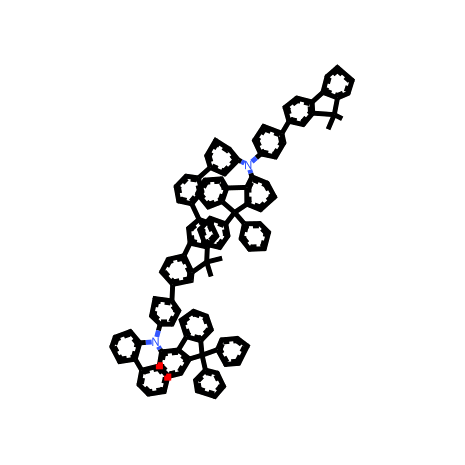 CC1(C)c2ccccc2-c2ccc(-c3ccc(N(c4cccc(-c5cccc(-c6ccc7c(c6)-c6ccc(-c8ccc(N(c9ccccc9-c9ccccc9)c9cccc%10c9-c9ccccc9C%10(c9ccccc9)c9ccccc9)cc8)cc6C7(C)C)c5)c4)c4cccc5c4-c4ccccc4C5(c4ccccc4)c4ccccc4)cc3)cc21